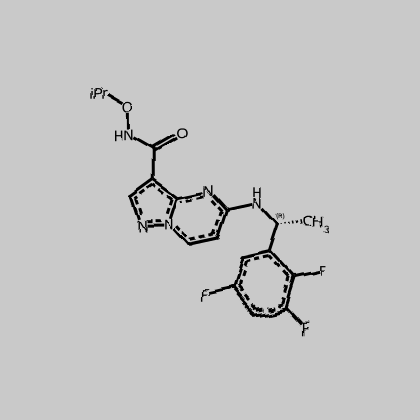 CC(C)ONC(=O)c1cnn2ccc(N[C@H](C)c3cc(F)cc(F)c3F)nc12